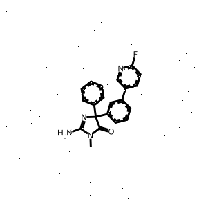 CN1C(=O)C(c2c[c]ccc2)(c2cccc(-c3ccc(F)nc3)c2)N=C1N